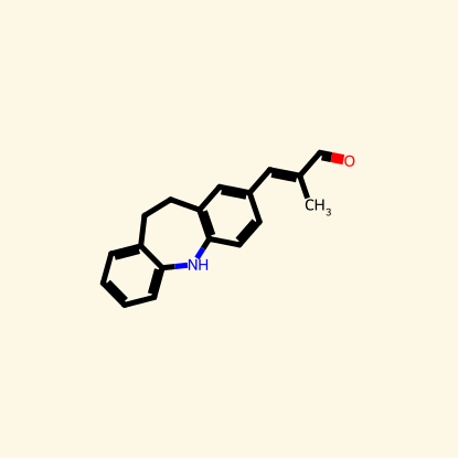 C/C(C=O)=C\c1ccc2c(c1)CCc1ccccc1N2